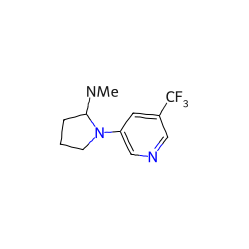 CNC1CCCN1c1cncc(C(F)(F)F)c1